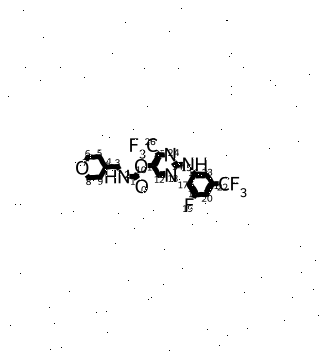 O=C(NCC1CCOCC1)Oc1cnc(Nc2cc(F)cc(C(F)(F)F)c2)nc1C(F)(F)F